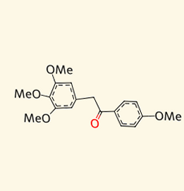 COc1ccc(C(=O)Cc2cc(OC)c(OC)c(OC)c2)cc1